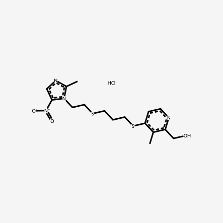 Cc1c(SCCCSCCn2c([N+](=O)[O-])cnc2C)ccnc1CO.Cl